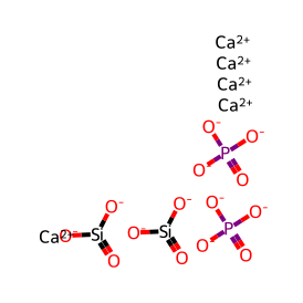 O=P([O-])([O-])[O-].O=P([O-])([O-])[O-].O=[Si]([O-])[O-].O=[Si]([O-])[O-].[Ca+2].[Ca+2].[Ca+2].[Ca+2].[Ca+2]